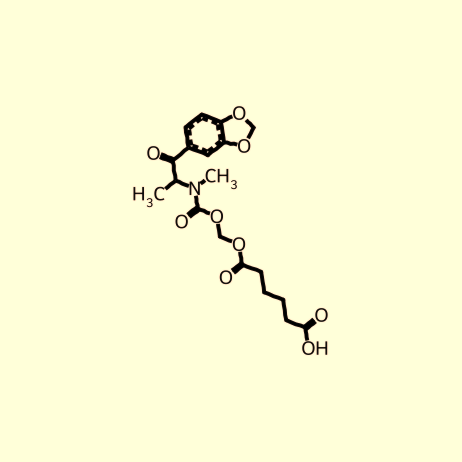 CC(C(=O)c1ccc2c(c1)OCO2)N(C)C(=O)OCOC(=O)CCCCC(=O)O